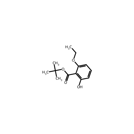 CCOc1cccc(O)c1C(=O)OC(C)(C)C